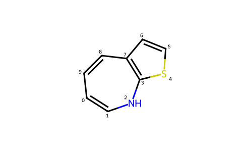 C1=CNc2sccc2C=C1